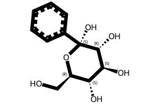 OC[C@H]1O[C@@](O)(c2ccccc2)[C@H](O)[C@@H](O)[C@@H]1O